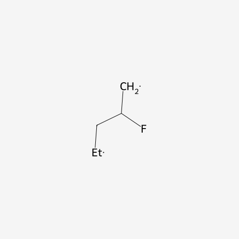 [CH2]C(F)C[CH]C